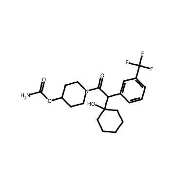 NC(=O)OC1CCN(C(=O)C(c2cccc(C(F)(F)F)c2)C2(O)CCCCC2)CC1